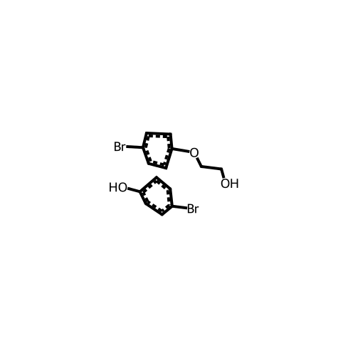 OCCOc1ccc(Br)cc1.Oc1ccc(Br)cc1